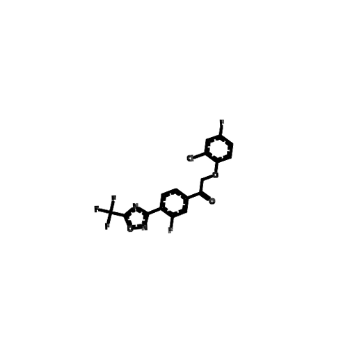 O=C(COc1ccc(F)cc1Cl)c1ccc(-c2noc(C(F)(F)F)n2)c(F)c1